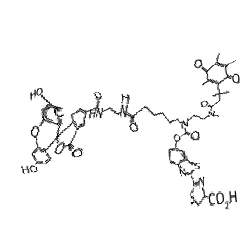 CC1=C(C)C(=O)C(C(C)(C)CC(=O)N(C)CCN(CCCCCC(=O)NCCNC(=O)c2ccc3c(c2)C(=O)OC32c3ccc(O)cc3Oc3cc(O)ccc32)C(=O)Oc2ccc3nc(C4=NC(C(=O)O)CS4)sc3c2)=C(C)C1=O